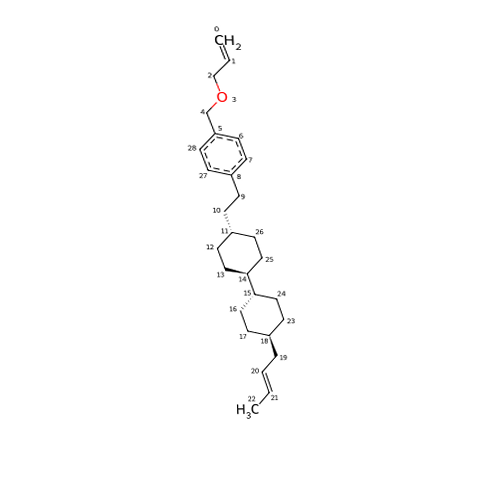 C=CCOCc1ccc(CC[C@H]2CC[C@H]([C@H]3CC[C@H](CC=CC)CC3)CC2)cc1